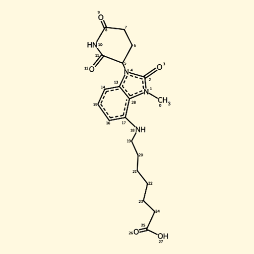 Cn1c(=O)n(C2CCC(=O)NC2=O)c2cccc(NCCCCCCC(=O)O)c21